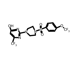 O=S(=O)(c1ccc(OC(F)(F)F)cc1)N1CCN(c2nc(O)cc(C(F)(F)F)n2)CC1